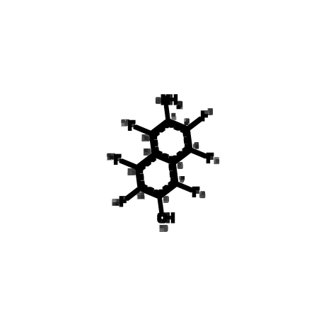 Nc1c(F)c(F)c2c(F)c(O)c(F)c(F)c2c1F